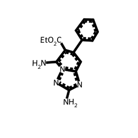 CCOC(=O)c1c(-c2ccccc2)cc2nc(N)nn2c1N